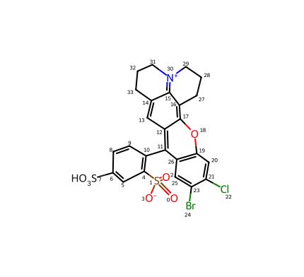 O=S(=O)([O-])c1cc(S(=O)(=O)O)ccc1C1=c2cc3c4c(c2Oc2cc(Cl)c(Br)cc21)CCC[N+]=4CCC3